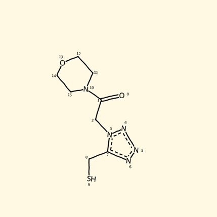 O=C(Cn1nnnc1CS)N1CCOCC1